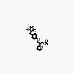 CC(=O)OCC(COc1ccc(CC2NC(=O)SC2=O)cc1)c1ccccn1